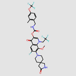 COc1c(N2CCC3(CC2)CNC(=O)C3)c(F)cc2c(=O)c(OC(=O)NCc3ccc(OC(F)(F)F)cc3C)cn(CC(F)(F)F)c12